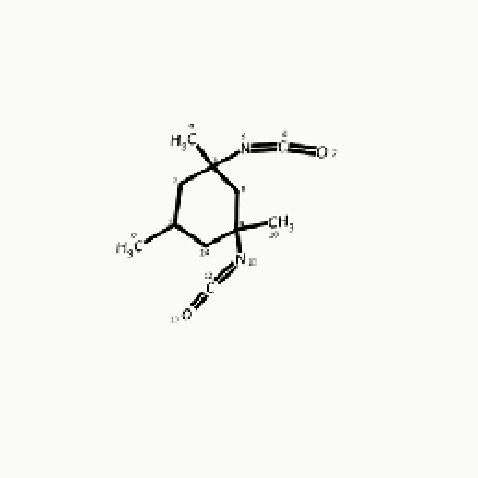 CC1CC(C)(N=C=O)CC(C)(N=C=O)C1